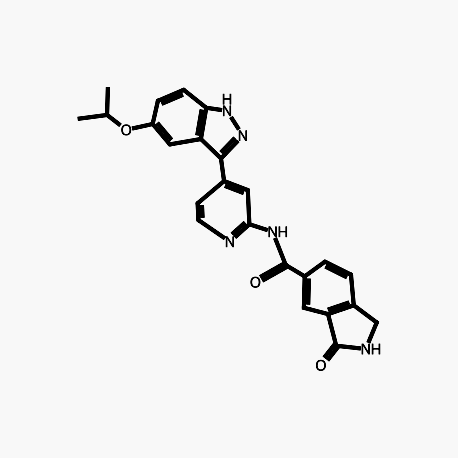 CC(C)Oc1ccc2[nH]nc(-c3ccnc(NC(=O)c4ccc5c(c4)C(=O)NC5)c3)c2c1